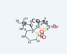 CCOC(=O)C([C@]1(c2ccc(Br)s2)CCCCS1(=O)=O)[Si](C)(C)C